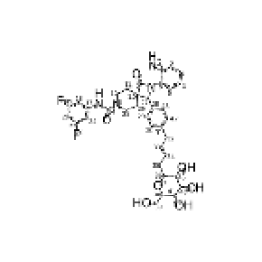 Nc1ccccc1N1C(=O)C2(CCN(C(=O)Nc3cc(F)cc(F)c3)CC2)C1c1ccc(C/C=C/CC2OC(CO)C(O)C(O)C2O)cc1